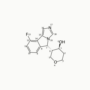 O[C@H]1CCOC[C@@H]1C1c2cccc(F)c2-c2cncn21